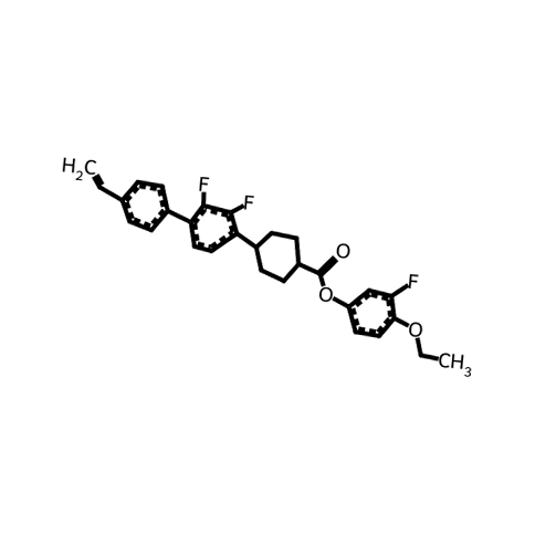 C=Cc1ccc(-c2ccc(C3CCC(C(=O)Oc4ccc(OCC)c(F)c4)CC3)c(F)c2F)cc1